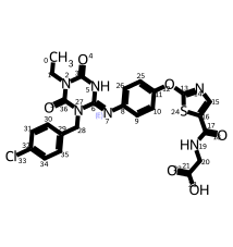 CCn1c(=O)[nH]/c(=N\c2ccc(Oc3ncc(C(=O)NCC(=O)O)s3)cc2)n(Cc2ccc(Cl)cc2)c1=O